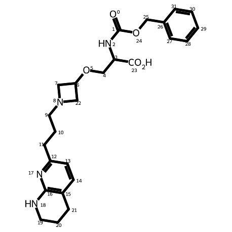 O=C(NC(COC1CN(CCCc2ccc3c(n2)NCCC3)C1)C(=O)O)OCc1ccccc1